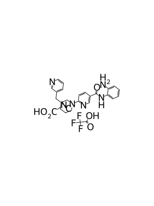 Nc1ccccc1NC(=O)c1ccc(N2CC3(Cc4cccnc4)CCC2CN3C(=O)O)nc1.O=C(O)C(F)(F)F